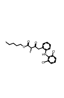 O=C(Cc1ccccc1Nc1c(Cl)cccc1Cl)C(F)C(=O)OCCCCI